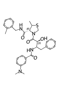 Cc1ccccc1CNC(=O)[C@@H]1C(C)SCN1C(=O)[C@@H](O)C(Cc1ccccc1)NC(=O)c1cccc(N(C)C)c1